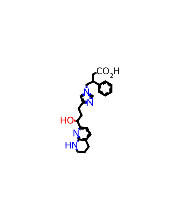 O=C(O)CC(Cn1cnc(CCC(O)c2ccc3c(n2)NCCC3)c1)c1ccccc1